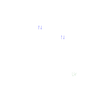 Brc1ccc(-[n+]2ccccc2)nc1